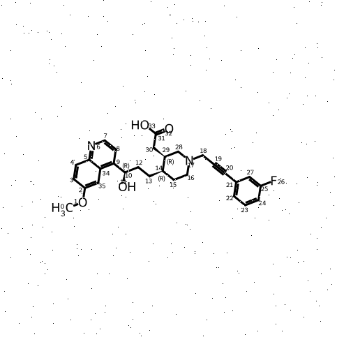 COc1ccc2nccc([C@H](O)CC[C@@H]3CCN(CC#Cc4cccc(F)c4)C[C@@H]3CC(=O)O)c2c1